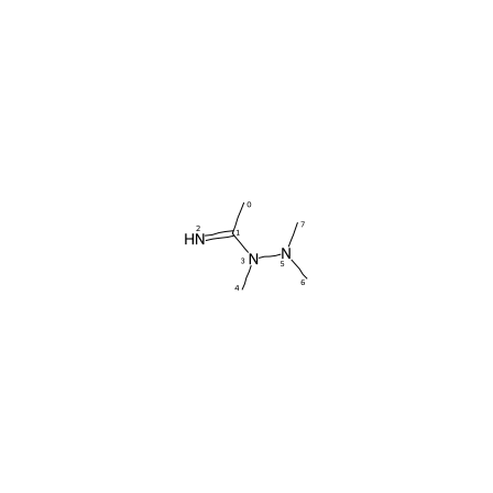 CC(=N)N(C)N(C)C